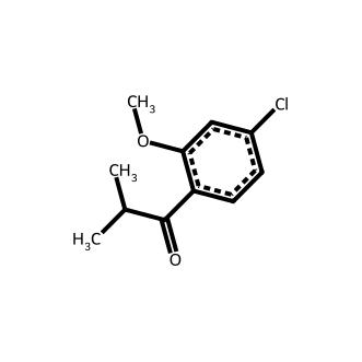 COc1cc(Cl)ccc1C(=O)C(C)C